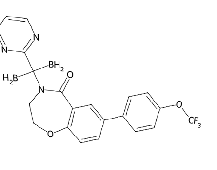 BC(B)(c1ncccn1)N1CCOc2ccc(-c3ccc(OC(F)(F)F)cc3)cc2C1=O